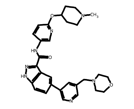 CN1CCC(Oc2ccc(NC(=O)c3n[nH]c4ccc(-c5cncc(CN6CCOCC6)c5)cc34)cn2)CC1